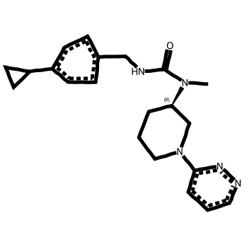 CN(C(=O)NCc1ccc(C2CC2)cc1)[C@@H]1CCCN(c2cccnn2)C1